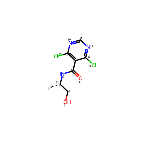 C[C@@H](CO)NC(=O)c1c(Cl)ncnc1Cl